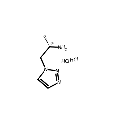 C[C@H](N)Cn1ccnn1.Cl.Cl